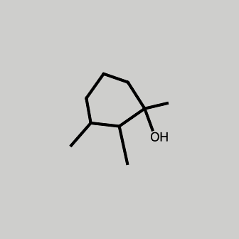 CC1CCCC(C)(O)C1C